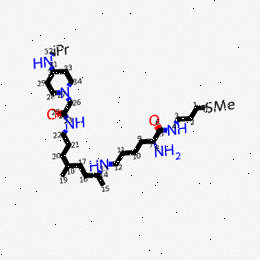 CSCCCNC(=O)[C@@H](N)CCCCNC(C)CCC(C)CCCNC(=O)CN1CCC(NC(C)C)CC1